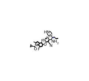 C=C/C=C(\C(N)c1ncnc(Oc2cc(F)c3c(cc(C)n3C(=O)C3CC3)c2F)c1C#N)N1CCNCC1